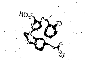 C[C@@H](Oc1cc(-n2cnc3ccc(COC(=O)C(C)(C)C)cc32)sc1C(=O)O)c1ccccc1Cl